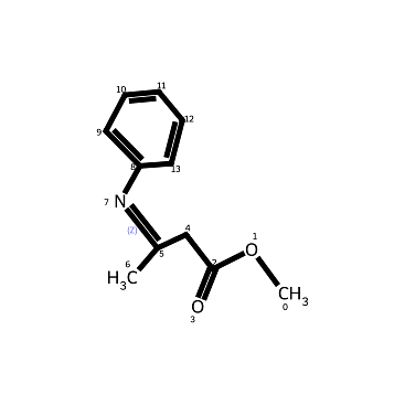 COC(=O)C/C(C)=N\c1ccccc1